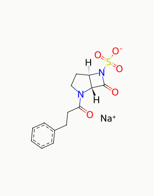 O=C(CCc1ccccc1)N1CC[C@@H]2[C@@H]1C(=O)N2S(=O)(=O)[O-].[Na+]